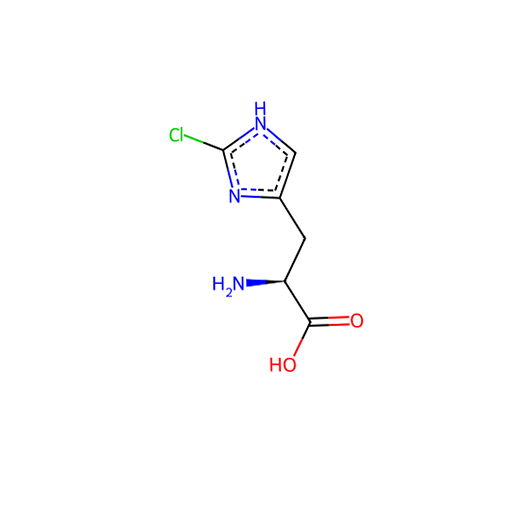 N[C@@H](Cc1c[nH]c(Cl)n1)C(=O)O